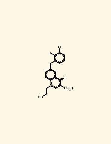 Cc1c(Cl)cccc1Cc1ccc2c(c1)c(=O)c(C(=O)O)cn2CCO